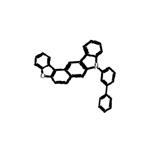 c1ccc(-c2cccc(-n3c4ccccc4c4cc5c(ccc6oc7ccccc7c65)cc43)c2)cc1